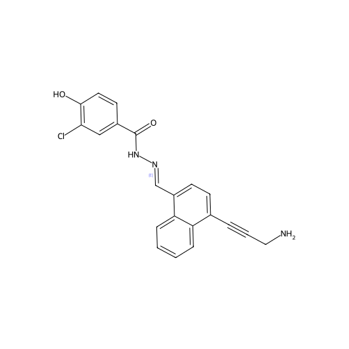 NCC#Cc1ccc(/C=N/NC(=O)c2ccc(O)c(Cl)c2)c2ccccc12